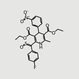 CCOC(=O)C1=C(C)NC(C(=S=O)c2ccc(F)cc2)=C(C(=O)OCC)C1c1cccc([N+](=O)[O-])c1